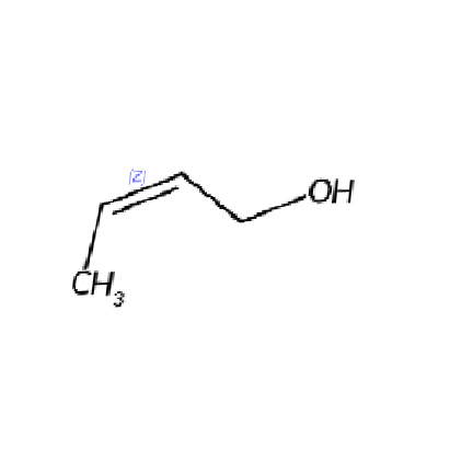 C/C=C\CO